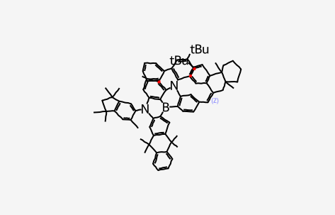 Cc1cc2c3c(c1)N(c1ccc(C(C)(C)C)cc1-c1ccccc1)c1cc(/C=C4/CC5(C)CCCCC5(C)c5cc(C(C)(C)C)ccc54)ccc1B3c1cc3c(cc1N2c1cc2c(cc1C)C(C)(C)CC2(C)C)C(C)(C)c1ccccc1C3(C)C